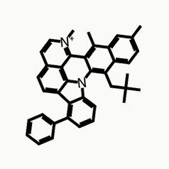 Cc1ccc2c(CC(C)(C)C)c3c(c(C)c2c1)c1c2c(ccc4c5c(-c6ccccc6)cccc5n3c42)cc[n+]1C